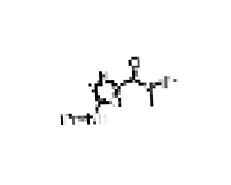 CC(C)NC(=O)c1nnc(NC(C)C)o1